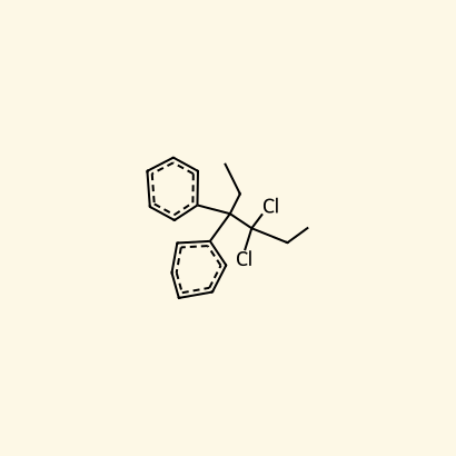 CCC(Cl)(Cl)C(CC)(c1ccccc1)c1ccccc1